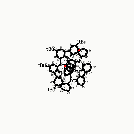 CC(C)(C)c1ccc2c(c1)c1cc(C(C)(C)C)cc3c1n2-c1cc(-n2c4c(N(c5ccccc5)c5ccccc5)cccc4c4cccc(N(c5ccccc5)c5ccccc5)c42)cc2c1B3c1cc(C(C)(C)C)cc3c4cc(C(C)(C)C)ccc4n-2c13